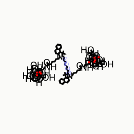 CC1(C)C(/C=C/C=C/C=C/C=C2/N(CCCCCC(=O)NCCCO[C@@H]3[C@@H](O)[C@@H]4OC5O[C@H](CO)[C@@H](OCCC[C@H]3O[C@@H]4CO)[C@H](O)[C@H]5O)c3ccc4ccccc4c3C2(C)C)=[N+](CCCCCC(=O)NCCCO[C@H]2[C@H]3OC4[C@@H](CO)O[C@H](CCCO[C@@H]([C@@H]2O)[C@@H](CO)O3)[C@H](O)[C@H]4O)c2ccc3ccccc3c21